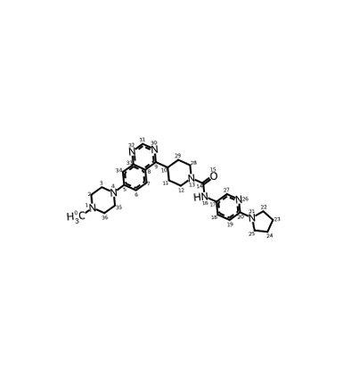 CN1CCN(c2ccc3c(C4CCN(C(=O)Nc5ccc(N6CCCC6)nc5)CC4)ncnc3c2)CC1